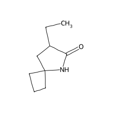 CCC1CC2(CCC2)NC1=O